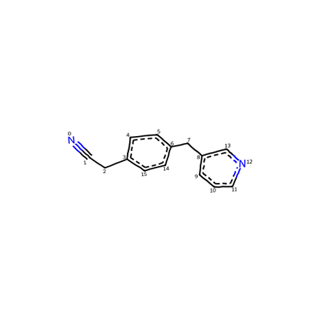 N#CCc1ccc(Cc2cccnc2)cc1